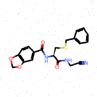 N#CCNC(=O)[C@H](CSCc1ccccc1)NC(=O)c1ccc2c(c1)OCO2